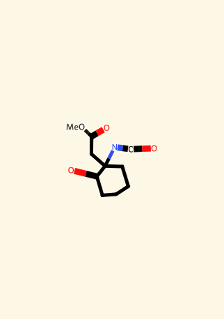 COC(=O)CC1(N=C=O)CCCCC1=O